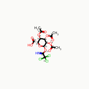 CC(=O)O[C@@H]1[C@@H](OC(C)=O)[C@@H](OC(=N)C(Cl)(Cl)Cl)O[C@H](C(=O)O)[C@H]1OC(C)=O